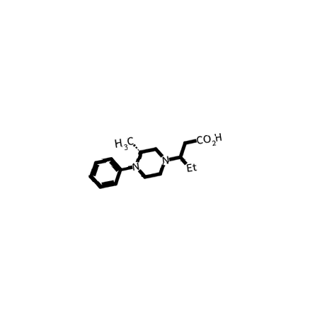 CCC(CC(=O)O)N1CCN(c2ccccc2)[C@H](C)C1